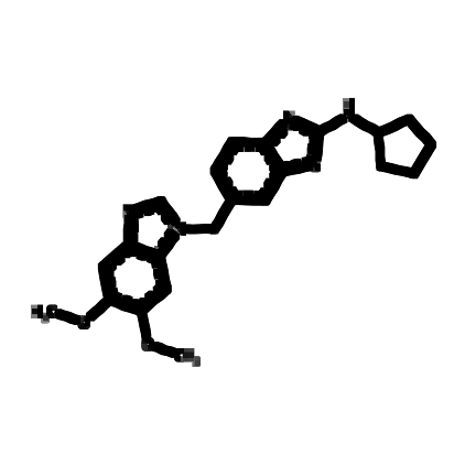 COc1cc2ncn(Cc3ccc4nc(NC5CCCC5)sc4c3)c2cc1OC